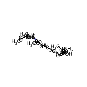 CCCCOc1nc(N)c2nc(O)n(Cc3ccc(C(=O)NCCCOCCOCCOCCCNC(=O)CCC(=O)Oc4ccc(/C=C/C(=O)NCC(=O)N[C@@H](C)C(=O)NCCCC(=O)OCC)cc4OC)cc3)c2n1